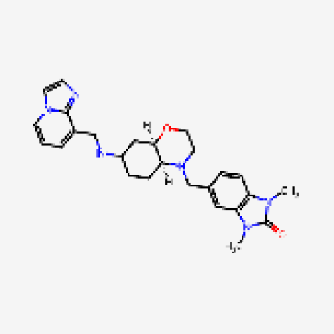 Cn1c(=O)n(C)c2cc(CN3CCO[C@@H]4C[C@H](NCc5cccn6ccnc56)CC[C@@H]43)ccc21